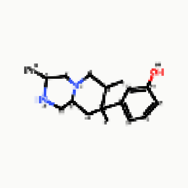 CC(C)C1CN2CC(C)C(C)(c3cccc(O)c3)CC2CN1